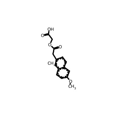 C.COc1ccc2cc(CC(=O)OCC(=O)O)ccc2c1